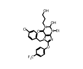 CCN1c2nc(Oc3ccc(C(F)(F)F)cc3)n(Cc3ccc(Cl)cc3)c2C(=O)N(CCCO)C1O